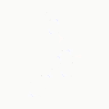 O=c1[nH]c(COc2cnc(Br)cn2)nc2c(CNCC3CCNCC3)nccc12